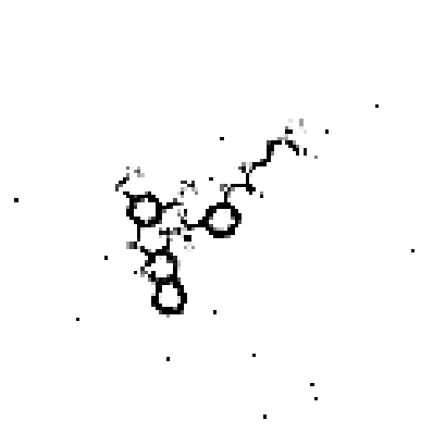 COc1cc(Nc2nc3ccccc3nc2NS(=O)(=O)c2cccc(NC(=O)NCCN(C)C)c2)cc(OC)c1